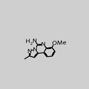 COc1cccc2c1nc(N)n1nc(C)cc21